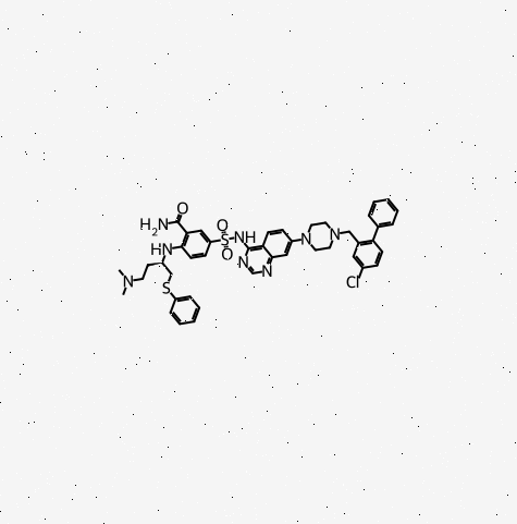 CN(C)CC[C@H](CSc1ccccc1)Nc1ccc(S(=O)(=O)Nc2ncnc3cc(N4CCN(Cc5cc(Cl)ccc5-c5ccccc5)CC4)ccc23)cc1C(N)=O